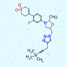 C[Si](C)(C)C#CCc1cn(CC2CN(c3ccc(C4=CCS(=O)(=O)CC4)c(F)c3)C(C=O)O2)nn1